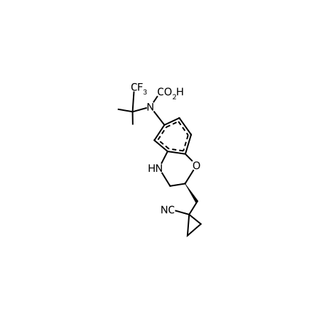 CC(C)(N(C(=O)O)c1ccc2c(c1)NC[C@H](CC1(C#N)CC1)O2)C(F)(F)F